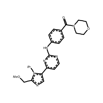 COCc1ncc(-c2ccnc(Nc3ccc(C(=O)N4CCOCC4)cc3)n2)n1C(C)C